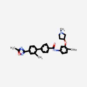 COc1ccc(NC(=O)c2ccc(-c3ccc(-c4noc(C)n4)cc3C)cc2)cc1OC1CCN(C)C1